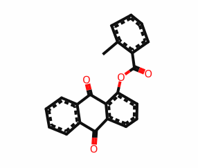 Cc1ccccc1C(=O)Oc1cccc2c1C(=O)c1ccccc1C2=O